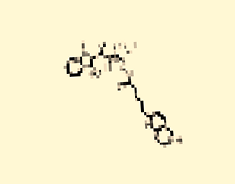 O=C(CCCCc1ccc2c(n1)CCNC2)NCC[C@H](NC(=O)c1[nH]c2ccccc2c1O)C(=O)O